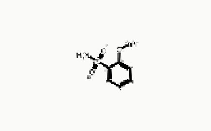 CCCOc1ccccc1S(N)(=O)=O